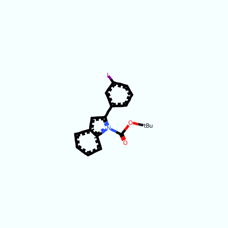 CC(C)(C)OC(=O)n1c(-c2cccc(I)c2)cc2ccccc21